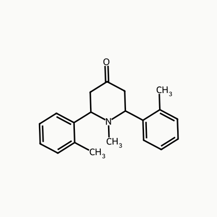 Cc1ccccc1C1CC(=O)CC(c2ccccc2C)N1C